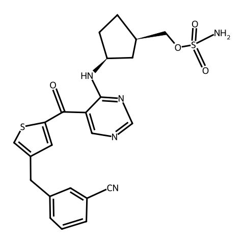 N#Cc1cccc(Cc2csc(C(=O)c3cncnc3N[C@H]3CC[C@@H](COS(N)(=O)=O)C3)c2)c1